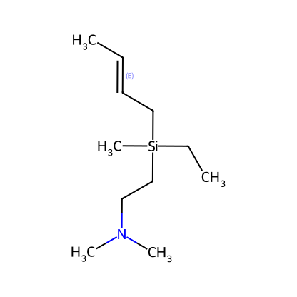 C/C=C/C[Si](C)(CC)CCN(C)C